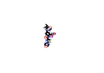 C=C(CC)C1(C)COCCN1Cc1ccc(NC(=O)c2csc(N3CCOCC3)n2)c(C(=O)N=O)c1